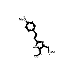 COCc1nc(/C=C/c2ccc(OC)cc2)oc1CCl